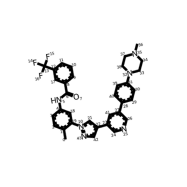 Cc1ccc(NC(=O)c2cccc(C(F)(F)F)c2)cc1-n1cc(-c2cncc(-c3ccc(N4CCN(C)CC4)cc3)c2)cn1